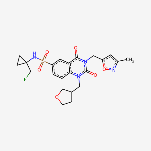 Cc1cc(Cn2c(=O)c3cc(S(=O)(=O)NC4(CF)CC4)ccc3n(CC3CCOC3)c2=O)on1